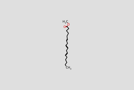 CCCCC/C=C/C/C=C/C/C=C/CCCCC(=O)OC